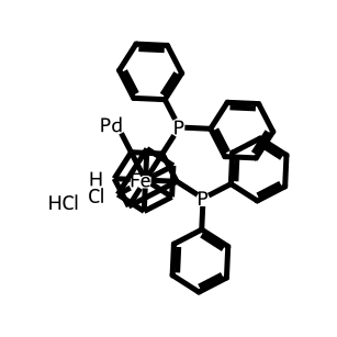 Cl.Cl.[Pd][C]12[CH]3[CH]4[C]5(P(c6ccccc6)c6ccccc6)[C]1(P(c1ccccc1)c1ccccc1)[Fe]34251678[CH]2[CH]1[CH]6[CH]7[CH]28